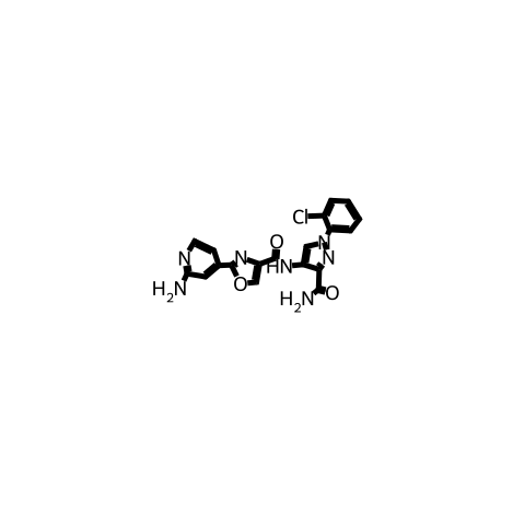 NC(=O)c1nn(-c2ccccc2Cl)cc1NC(=O)c1coc(-c2ccnc(N)c2)n1